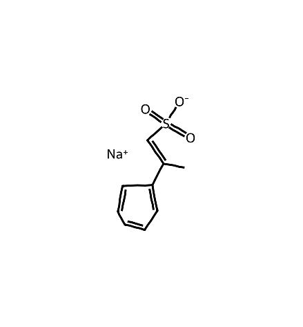 CC(=CS(=O)(=O)[O-])c1ccccc1.[Na+]